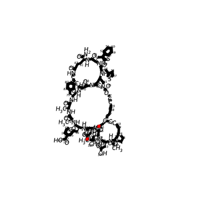 CC(=O)N1CCC[C@]12C/C=C\CCC[C@@]1(CCC/C=C\CCCOC(=O)N3CC4CC(C3)N[C@@H](Cc3ccsc3)C(=O)N[C@@H](Cc3csc5ccccc35)C(=O)N[C@H](C(N)=O)CCC(=O)NCCCC[C@H](NC(=O)[C@H](Cc3ccccc3)NC(=O)[C@H](C)NC(=O)[C@H](C)NC(=O)[C@H](Cc3cccc(C(=O)O)c3)NC(=O)[C@H](CC(=O)O)NC1=O)C(=O)N4)NC(O)[C@H](CC(C)(C)C)NC(=O)[C@H](CC(=O)O)NC2=O